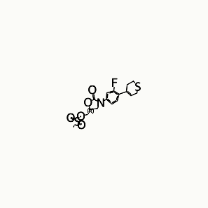 CS(=O)(=O)OC[C@H]1CN(c2ccc(C3=CCSCC3)c(F)c2)C(=O)O1